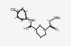 CC(C)(C)OC(=O)N1CCCC(C(=O)Nc2ccc(Cl)cc2)C1